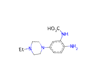 CCN1CCN(c2ccc(N)c(NC(=O)O)c2)CC1